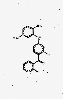 COc1ccc(N)c(Nc2ccc(C(=O)c3ccccc3C)c(Cl)c2)c1